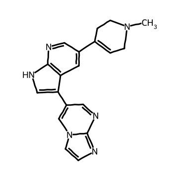 CN1CC=C(c2cnc3[nH]cc(-c4cnc5nccn5c4)c3c2)CC1